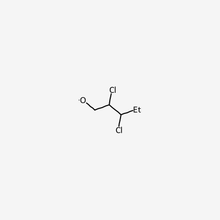 CCC(Cl)C(Cl)C[O]